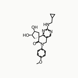 COc1ccc(N2Cc3cnc(NCC4CC4)nc3[C@@]3(C[C@@H](O)[C@@H](O)C3)C2=O)cc1